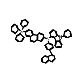 c1ccc(-n2c3ccccc3c3c(N(c4ccc(-c5cccc6ccccc56)cc4)c4ccc5c(ccc6cc([Si](c7ccccc7)(c7ccccc7)c7ccccc7)ccc65)c4)cccc32)cc1